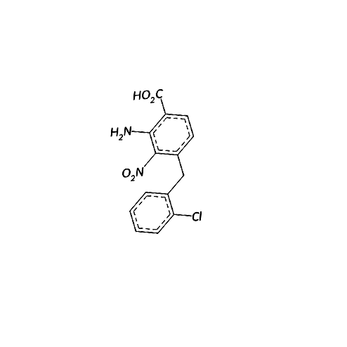 Nc1c(C(=O)O)ccc(Cc2ccccc2Cl)c1[N+](=O)[O-]